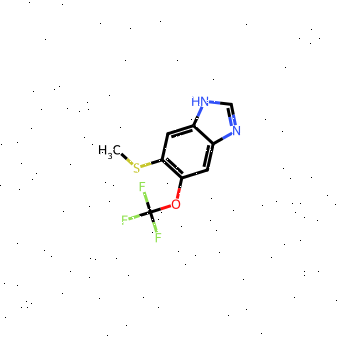 CSc1cc2[nH]cnc2cc1OC(F)(F)F